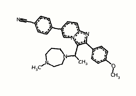 COc1ccc(-c2nc3ccc(-c4ccc(C#N)cc4)cn3c2C(C)N2CCCN(C)CC2)cc1